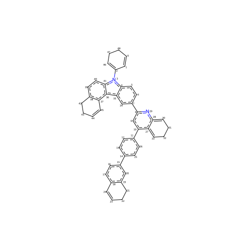 C1=CC(n2c3ccc(-c4cc(-c5ccc(-c6ccc7c(c6)CCC=C7)cc5)c5c(n4)=CCCC=5)cc3c3c4c(ccc32)CCC=C4)=CCC1